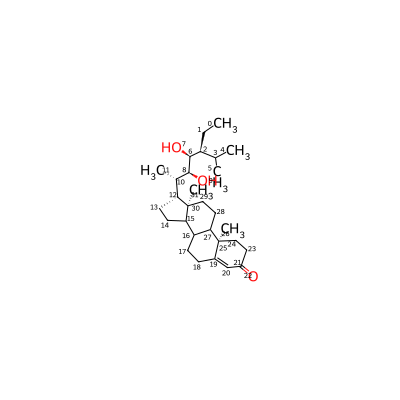 CC[C@@H](C(C)C)[C@H](O)[C@@H](O)[C@@H](C)[C@H]1CCC2C3CCC4=CC(=O)CC[C@]4(C)C3CC[C@@]21C